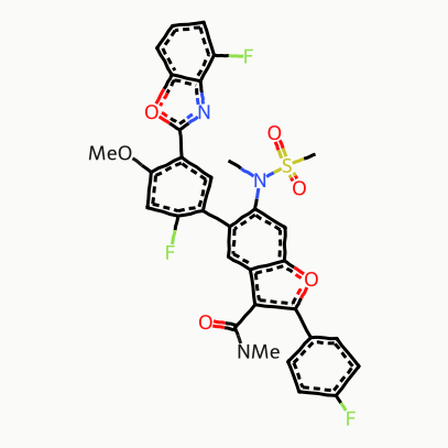 CNC(=O)c1c(-c2ccc(F)cc2)oc2cc(N(C)S(C)(=O)=O)c(-c3cc(-c4nc5c(F)cccc5o4)c(OC)cc3F)cc12